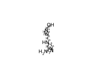 Nc1cnn2ccc(NCCCn3cc[n+](CCO)c3)cc12